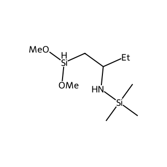 CCC(C[SiH](OC)OC)N[Si](C)(C)C